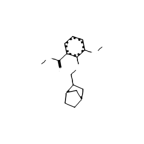 COC(=O)c1cccc(OC)c1OCC1CC2CCC1C2